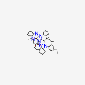 C=C1CC2(C)c3ccccc3N3c4nc5ccccc5nc4N(c4ccccc4)C3C2C2N(c3ccc(CC)cc3)c3ccccc3N2c2ccc(CC)cc21